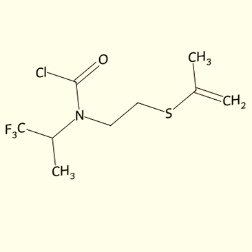 C=C(C)SCCN(C(=O)Cl)C(C)C(F)(F)F